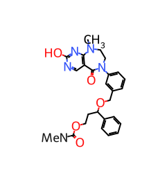 CNC(=O)OCCC(OCc1cccc(N2CCN(C)c3nc(O)ncc3C2=O)c1)c1ccccc1